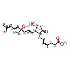 COC(=O)CC/C=C\CC[C@H]1C(=O)C[C@@H](O)[C@@H]1/C=C/C[C@@](O)(/C=C/C=C(C)C)CF